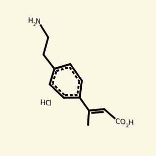 CC(=CC(=O)O)c1ccc(CCN)cc1.Cl